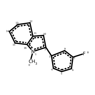 Cn1c(-c2cccc(F)c2)cc2c[c]ccc21